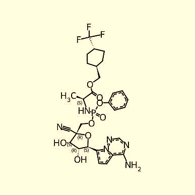 C[C@H](NP(=O)(OC[C@@]1(C#N)O[C@@H](c2ccc3c(N)ncnn23)[C@H](O)[C@@H]1O)Oc1ccccc1)C(=O)OC[C@H]1CC[C@H](C(F)(F)F)CC1